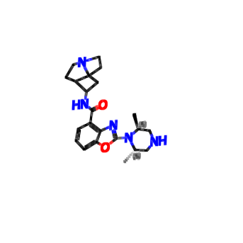 C[C@H]1CNC[C@H](C)N1c1nc2c(C(=O)NC3CC45CCN4CCC35)cccc2o1